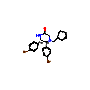 O=C1CN(Cc2ccccc2)[C@H](c2ccc(Br)cc2)[C@H](c2ccc(Br)cc2)N1